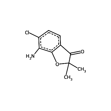 CC1(C)Oc2c(ccc(Cl)c2N)C1=O